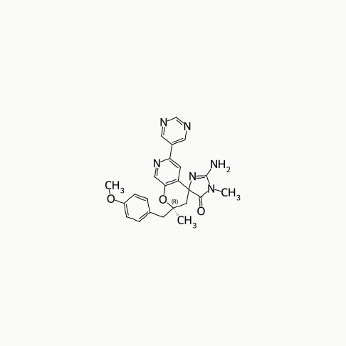 COc1ccc(C[C@]2(C)CC3(N=C(N)N(C)C3=O)c3cc(-c4cncnc4)ncc3O2)cc1